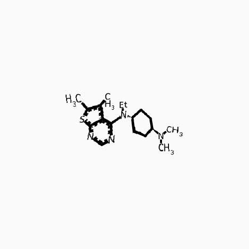 CCN(c1ncnc2sc(C)c(C)c12)[C@H]1CC[C@H](N(C)C)CC1